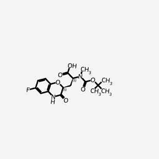 CN(C(=O)OC(C)(C)C)[C@@H](C[C@@H]1Oc2ccc(F)cc2NC1=O)C(=O)O